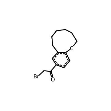 O=C(CBr)c1ccc2c(c1)CCCCCCC2